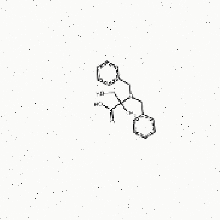 CC(CO)(C(=O)O)N(Cc1ccccc1)Cc1ccccc1